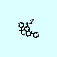 COC(=O)Nc1cc2c3c(c1)C(C)(c1cccnc1)CCN3CCC2(C)c1cccnc1